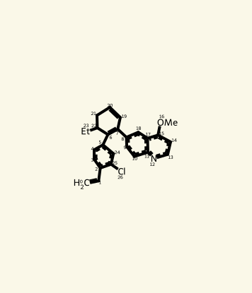 C=Cc1ccc(C2=C(c3ccc4nccc(OC)c4c3)C=CCC2CC)cc1Cl